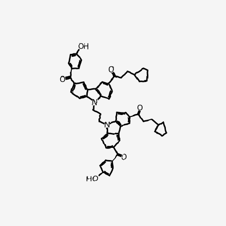 O=C(CCC1CCCC1)c1ccc2c(c1)c1cc(C(=O)c3ccc(O)cc3)ccc1n2CCCn1c2ccc(C(=O)CCC3CCCC3)cc2c2cc(C(=O)c3ccc(O)cc3)ccc21